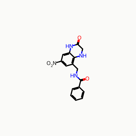 O=C1CNc2c(CNC(=O)c3ccccc3)cc([N+](=O)[O-])cc2N1